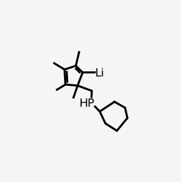 [Li][C]1=C(C)C(C)=C(C)C1(C)CPC1CCCCC1